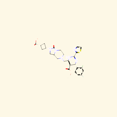 COC(=O)C1=C(CN2CCN3C(=O)N([C@H]4C[C@H](C(=O)O)C4)C[C@@H]3C2)NC(c2nccs2)=N[C@H]1c1ccc(F)cc1Cl